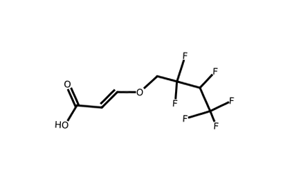 O=C(O)C=COCC(F)(F)C(F)C(F)(F)F